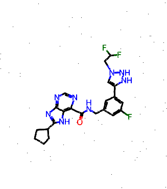 O=C(NCc1cc(F)cc(C2=CN(CC(F)F)NN2)c1)c1ncnc2nc(C3CCCC3)[nH]c12